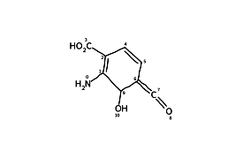 NC1=C(C(=O)O)C=CC(=C=O)C1O